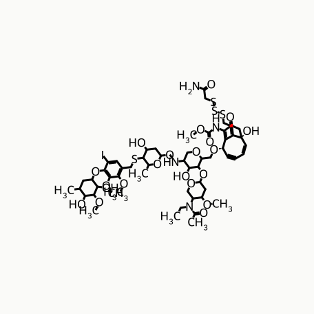 CCN(C(C)=O)C1COC(OC2C(CO[C@H]3C#C/C=C\[C@]4(O)CC(=O)C(NC(=O)OC)=C3/C4=C\CSSSCC(N)=O)OCC(NOC3CC(O)C(SCc4cc(I)c(OC5CC(C)C(O)C(OC)C5O)c(OC)c4OC)C(C)O3)C2O)CC1OC